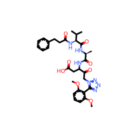 COc1cccc(OC)c1-c1nnnn1CC(=O)C(CC(=O)O)NC(=O)[C@H](C)NC(=O)[C@@H](NC(=O)CCc1ccccc1)C(C)C